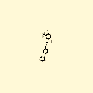 O=C(CCc1ccc(Oc2ccncc2)cc1)Nc1ccc(Cl)c(C(F)(F)F)c1